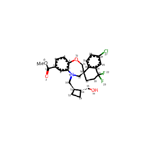 COC(=O)c1ccc2c(c1)N(C[C@@H]1CC[C@H]1CO)C[C@@]1(CCC(F)(F)c3cc(Cl)ccc31)CO2